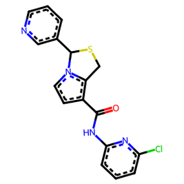 O=C(Nc1cccc(Cl)n1)c1ccn2c1CSC2c1cccnc1